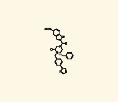 COc1ccc2[nH]c(C(=O)N3CC(=O)N(Cc4ccc(-n5cccn5)cc4)[C@@H](Cc4ccccc4)C3)cc2c1